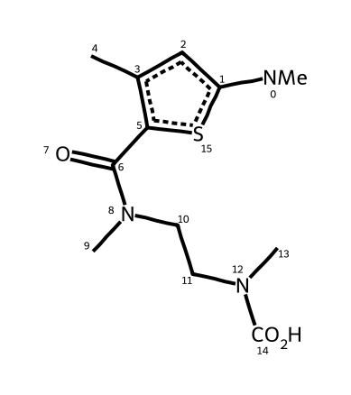 CNc1cc(C)c(C(=O)N(C)CCN(C)C(=O)O)s1